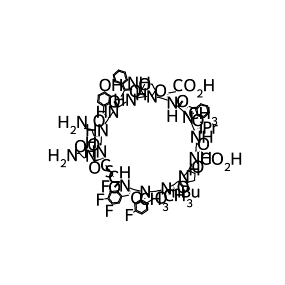 CCCC[C@H]1C(=O)N2CCC[C@@H]2C(=O)N[C@@H](CC(=O)O)C(=O)N[C@@H](C(C)C)C(=O)N(C)[C@@H](Cc2ccccc2)C(=O)N[C@@H](CCC(=O)O)C(=O)N2CCOC[C@@H]2C(=O)N[C@@H](Cc2c[nH]c3ccccc23)C(=O)N[C@@H](Cc2ccc(O)cc2)C(=O)N[C@@H](CCCN)C(=O)N[C@H](C(=O)NCC(N)=O)CSCC(=O)N[C@@H](Cc2cc(F)c(F)c(F)c2)C(=O)N(C)[C@@H](Cc2ccc(F)cc2)C(=O)N1C